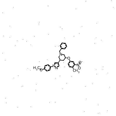 COc1ccc(-n2cc(C3CC(Oc4ccc(C)c([N+](=O)[O-])c4)CN(Cc4ccccc4)C3)cn2)cc1